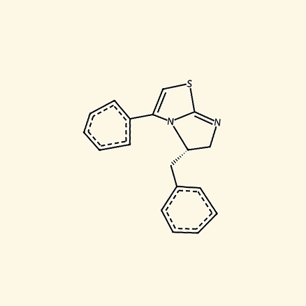 C1=C(c2ccccc2)N2C(=NC[C@@H]2Cc2ccccc2)S1